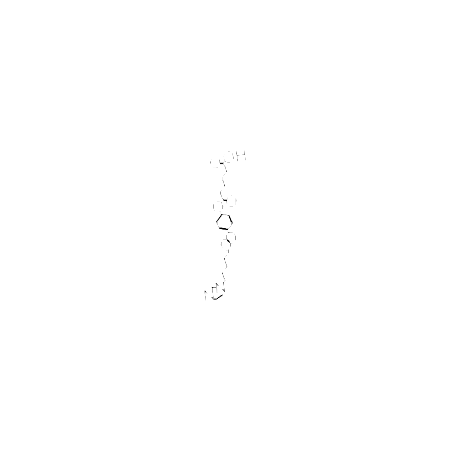 O=C(O)CCCCC(=O)Oc1ccc(OOCCCCCn2ccnc2)cc1